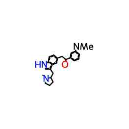 CNc1cccc(C(=O)Cc2ccc3[nH]cc(CC4CCCN4C)c3c2)c1